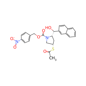 CC(=O)S[C@H]1C[C@@H](C(O)c2ccc3ccccc3c2)N(C(=O)OCc2ccc([N+](=O)[O-])cc2)C1